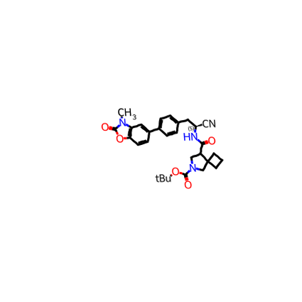 Cn1c(=O)oc2ccc(-c3ccc(C[C@@H](C#N)NC(=O)C4CN(C(=O)OC(C)(C)C)CC45CCC5)cc3)cc21